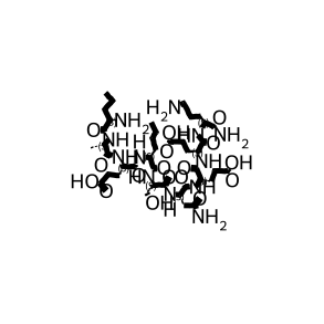 CCCC[C@H](NC(=O)[C@H](CCC(=O)O)NC(=O)[C@H](C)NC(=O)[C@@H](N)CCC)C(=O)N[C@@H](CO)C(=O)N[C@@H](CC(N)=O)C(=O)N[C@@H](CCC(=O)O)C(=O)N[C@@H](CCC(=O)O)C(=O)N[C@@H](CCCN)C(N)=O